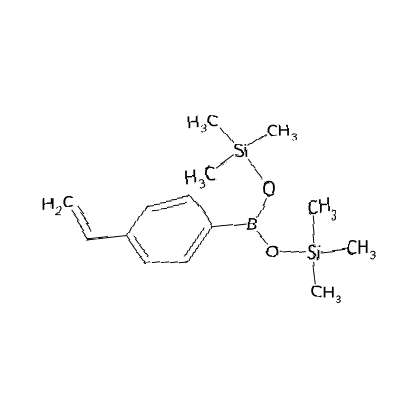 C=Cc1ccc(B(O[Si](C)(C)C)O[Si](C)(C)C)cc1